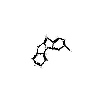 Ic1ccc2nc3oc4ccccc4n3c2c1